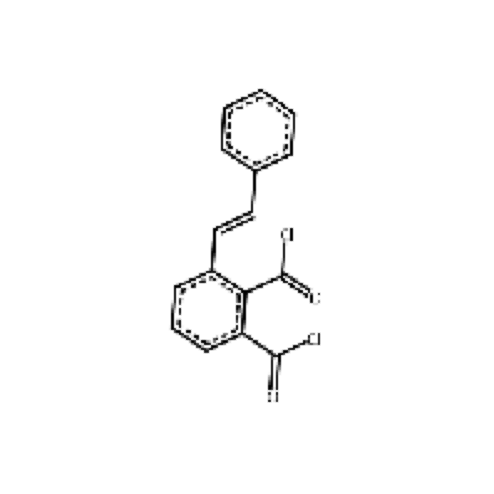 O=C(Cl)c1cccc(C=Cc2ccccc2)c1C(=O)Cl